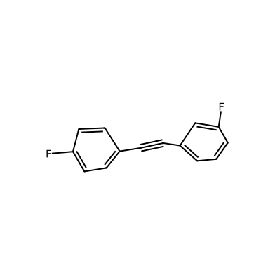 Fc1ccc(C#Cc2cccc(F)c2)cc1